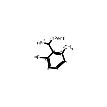 CCCCCC(CCC)c1c(C)cccc1F